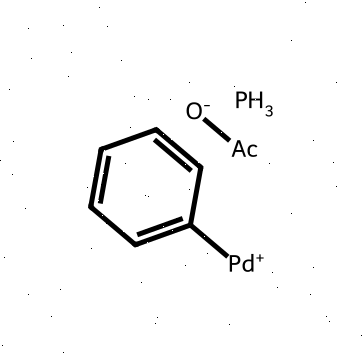 CC(=O)[O-].P.[Pd+][c]1ccccc1